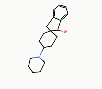 OC1c2ccccc2CC12CCC(N1CCCCC1)CC2